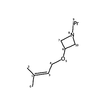 CC(C)=CCOC1CN(C(C)C)C1